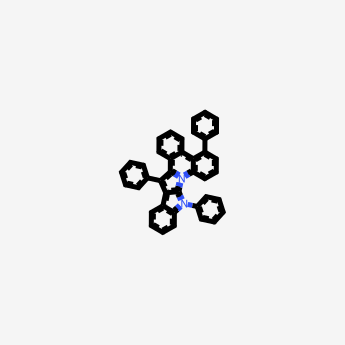 c1ccc(-c2cccc3c2c2ccccc2c2c(-c4ccccc4)c4c5ccccc5n(-c5ccccc5)c4n32)cc1